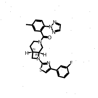 Cc1ccc(-n2nccn2)c(C(=O)N2CC[C@H]3CN(c4nc(-c5cccc(F)c5)cs4)[C@H]3C2)c1